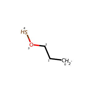 [CH2]CCOS